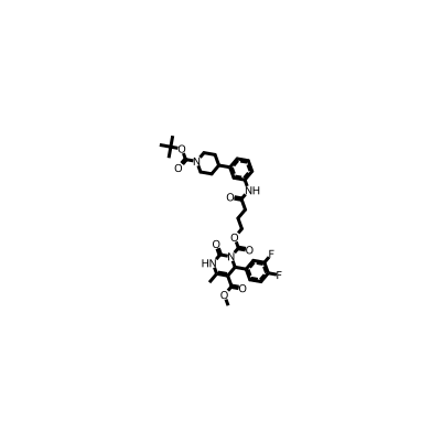 COC(=O)C1=C(C)NC(=O)N(C(=O)OCCCC(=O)Nc2cccc(C3CCN(C(=O)OC(C)(C)C)CC3)c2)C1c1ccc(F)c(F)c1